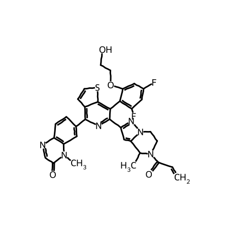 C=CC(=O)N1CCn2nc(-c3nc(-c4ccc5ncc(=O)n(C)c5c4)c4ccsc4c3-c3c(F)cc(F)cc3OCCO)cc2C1C